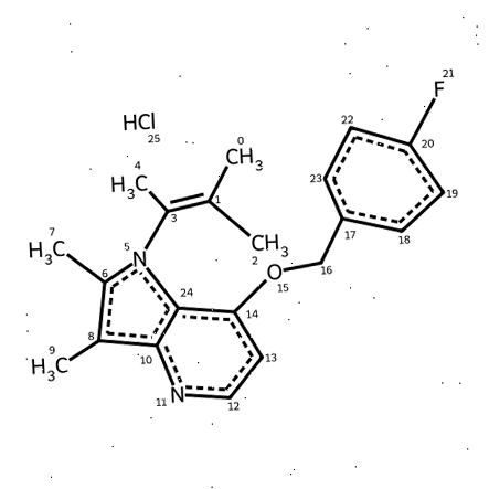 CC(C)=C(C)n1c(C)c(C)c2nccc(OCc3ccc(F)cc3)c21.Cl